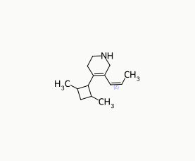 C/C=C\C1=C(C2C(C)CC2C)CCNC1